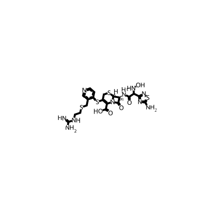 N=C(N)NCCSCc1cnccc1SC1=C(C(=O)O)N2C(=O)[C@@H](NC(=O)C(NO)c3nsc(N)n3)[C@@H]2SC1